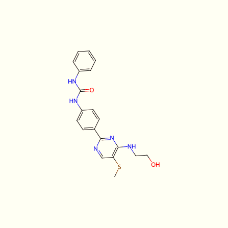 CSc1cnc(-c2ccc(NC(=O)Nc3ccccc3)cc2)nc1NCCO